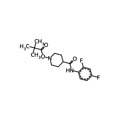 CC(C)(C)C(=O)ON1CCC(C(=O)Nc2ccc(F)cc2F)CC1